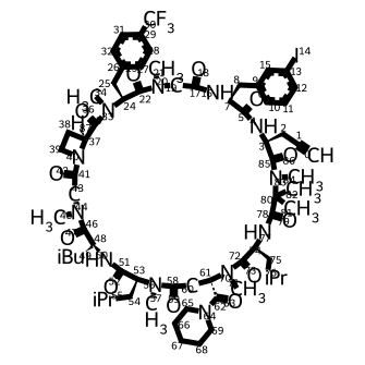 C#CC[C@@H]1NC(=O)[C@H](Cc2cccc(I)c2)NC(=O)CN(C)C(=O)[C@H](Cc2ccc(C(F)(F)F)cc2)N(C)C(=O)[C@@H]2CCN2C(=O)CN(C)C(=O)[C@H]([C@@H](C)CC)NC(=O)[C@H](CC(C)C)N(C)C(=O)C[C@@H](C(=O)N2CCCCC2)N(C)C(=O)[C@H](CC(C)C)NC(=O)C(C)(C)N(C)C1=O